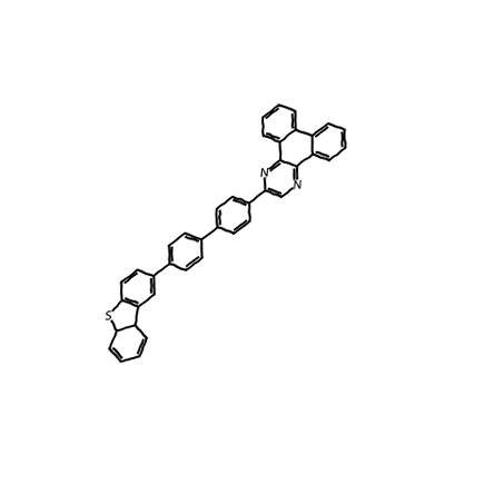 C1=CC2Sc3ccc(-c4ccc(-c5ccc(-c6cnc7c8ccccc8c8ccccc8c7n6)cc5)cc4)cc3C2C=C1